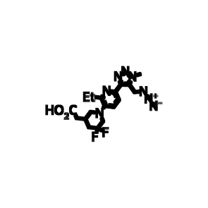 CCc1nc(-c2nnn(C)c2CN=[N+]=[N-])ccc1N1CC(CC(=O)O)CC(F)(F)C1